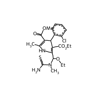 CCOC(=O)C1=C(C(OCC)N(C)C(N)=S)NC(C)=C(C(=O)OC)C1c1ccccc1Cl